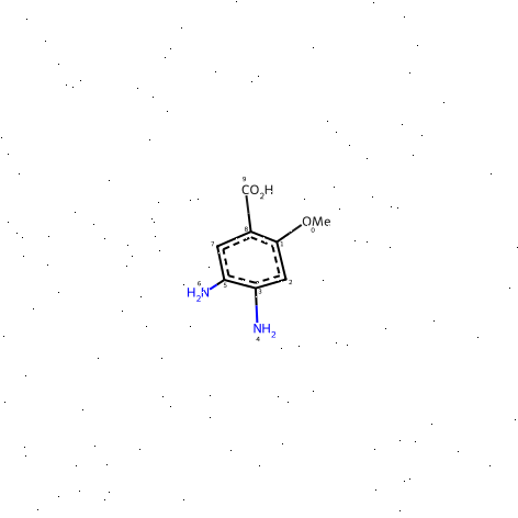 COc1cc(N)c(N)cc1C(=O)O